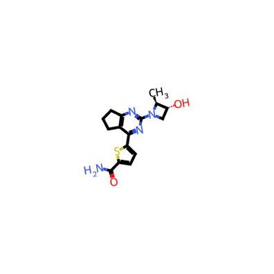 C[C@H]1[C@H](O)CN1c1nc2c(c(-c3ccc(C(N)=O)s3)n1)CCC2